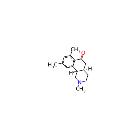 Cc1cc(C)c2c(c1)[C@H]1CN(C)CC[C@@H]1CC2=O